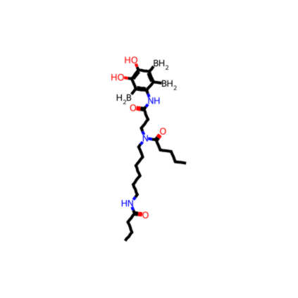 Bc1c(B)c(NC(=O)CCN(CCCCCCNC(=O)CCC)C(=O)CCCC)c(B)c(O)c1O